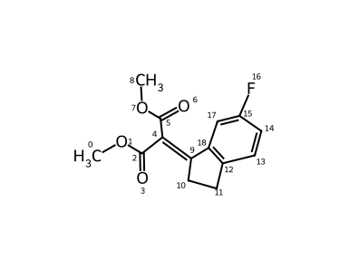 COC(=O)C(C(=O)OC)=C1CCc2ccc(F)cc21